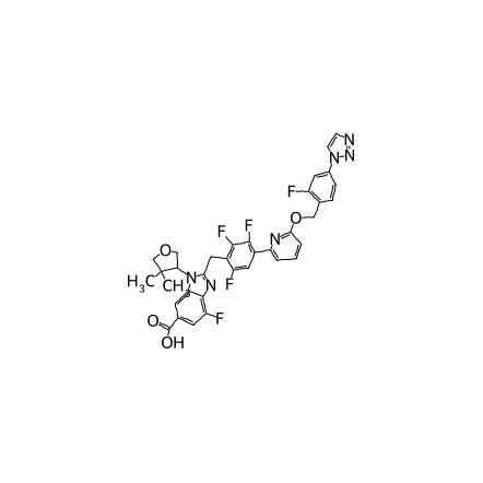 CC1(C)COCC1n1c(Cc2c(F)cc(-c3cccc(OCc4ccc(-n5ccnn5)cc4F)n3)c(F)c2F)nc2c(F)cc(C(=O)O)cc21